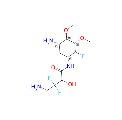 CO[C@H]1[C@H](OC)C(F)[C@H](NC(=O)C(O)C(F)(F)CN)C[C@@H]1N